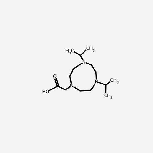 CC(C)N1CCN(CC(=O)O)CCN(C(C)C)CC1